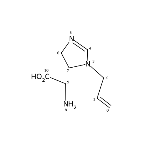 C=CCN1C=NCC1.NCC(=O)O